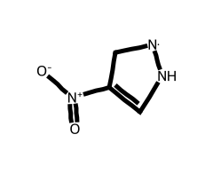 O=[N+]([O-])C1=CN[N]C1